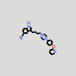 N#Cc1ccc2[nH]cc(CCCCN3CCN(c4ccc(Oc5ccccn5)cc4)CC3)c2c1